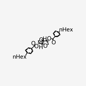 CCCCCCc1ccc(C(=O)O[C@H]2CO[C@@H]3[C@@H]2OC[C@H]3OC(=O)c2ccc(CCCCCC)cc2)cc1